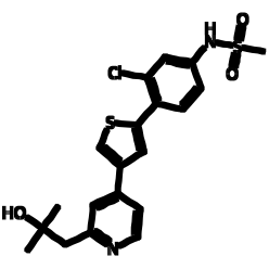 CC(C)(O)Cc1cc(-c2csc(-c3ccc(NS(C)(=O)=O)cc3Cl)c2)ccn1